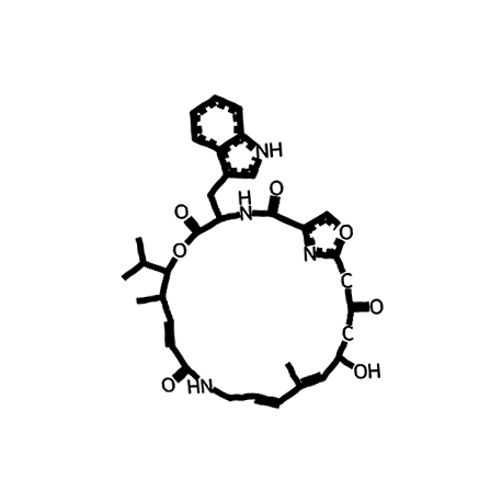 CC1=C\C(O)CC(=O)Cc2nc(co2)C(=O)NC(Cc2c[nH]c3ccccc23)C(=O)OC(C(C)C)C(C)/C=C/C(=O)NC\C=C\1